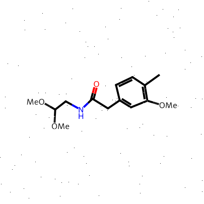 COc1cc(CC(=O)NCC(OC)OC)ccc1C